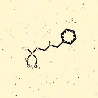 CO[Si](C)(OC)OCNCc1ccccc1